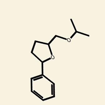 CC(C)OCC1CCC(c2ccccc2)O1